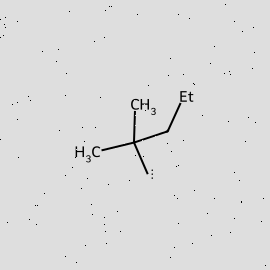 [C]C(C)(C)CCC